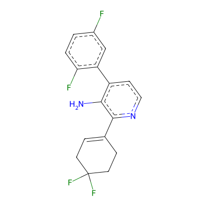 Nc1c(-c2cc(F)ccc2F)ccnc1C1=CCC(F)(F)CC1